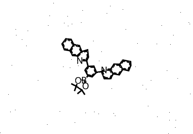 CC1(C)OB(c2cc(-c3ccc4cc5ccccc5cc4n3)cc(-c3ccc4cc5ccccc5cc4n3)c2)OC1(C)C